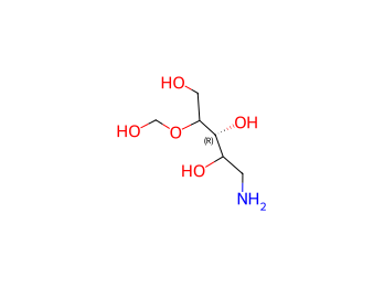 NCC(O)[C@@H](O)C(CO)OCO